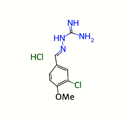 COc1ccc(C=NNC(=N)N)cc1Cl.Cl